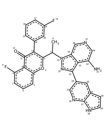 CC(c1oc2cccc(F)c2c(=O)c1-c1cccc(F)c1)n1nc(-c2cnc3[nH]ccc3c2)c2c(N)cncc21